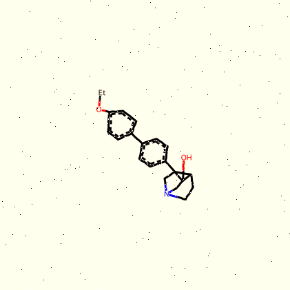 CCOc1ccc(-c2ccc(C3(O)CN4CCC3CC4)cc2)cc1